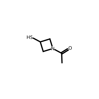 CC(=O)N1CC(S)C1